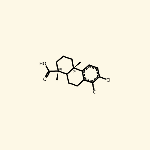 C[C@@]1(C(=O)O)CCC[C@]2(C)c3ccc(Cl)c(Cl)c3CCC12